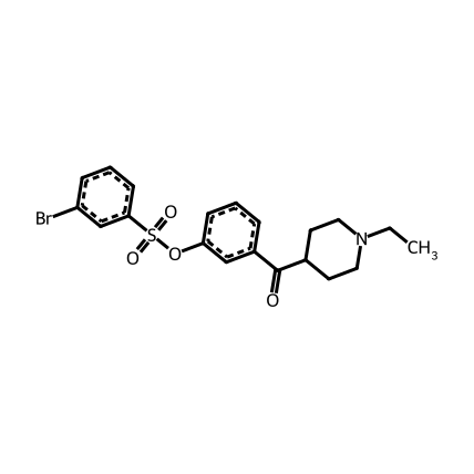 CCN1CCC(C(=O)c2cccc(OS(=O)(=O)c3cccc(Br)c3)c2)CC1